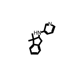 CC1(C)c2ccccc2CC1Nc1cccnc1